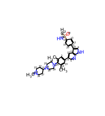 Cc1cc(-c2cnc3[nH]cc(-c4ccc(S(C)(=N)=O)cc4)c3c2)cc(C)c1N1CCN(C2CCN(C)CC2)CC1